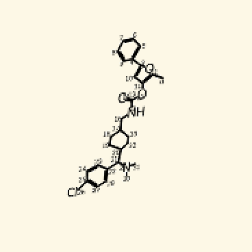 Cc1oc(-c2ccccc2)cc1OC(=O)NCC1CCC(C(c2ccc(Cl)cc2)N(C)C)CC1